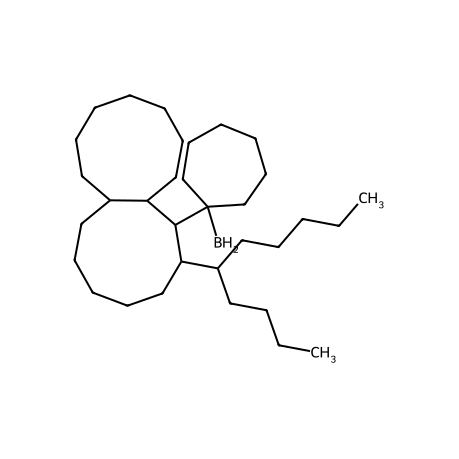 BC1(C2C(C(CCCC)CCCCC)CCCCCC3CCCCCCCC32)CCCCCC1